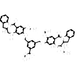 COC(=O)c1cc(COc2cc3c(cc2OC)C(=O)N2c4ccccc4C[C@H]2CN3)cc(COc2cc3c(cc2OC)C(=O)N2c4ccccc4C[C@H]2C(S(=O)(=O)O)N3)c1